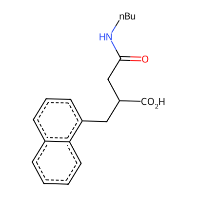 CCCCNC(=O)CC(Cc1cccc2ccccc12)C(=O)O